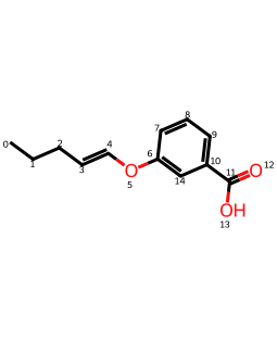 CCCC=COc1cccc(C(=O)O)c1